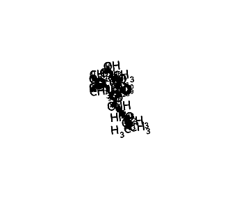 COc1ccc(CC[C@H](CCC(=O)NCCNC(=O)OC(C)(C)C)OC(=O)[C@@H]2CCCCN2C(=O)C(=O)C(C)(C)CCC(=O)O)cc1OC